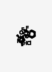 Cc1cc(S(=O)(=O)C(F)(F)N2CCCCC2)n(C)n1.Cl